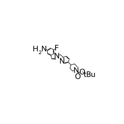 CC(C)(C)OC(=O)N1CCC(c2ccc(Cn3ccc4cc(N)cc(F)c43)nc2)CC1